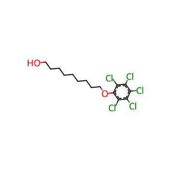 OCCCCCCCCCOc1c(Cl)c(Cl)c(Cl)c(Cl)c1Cl